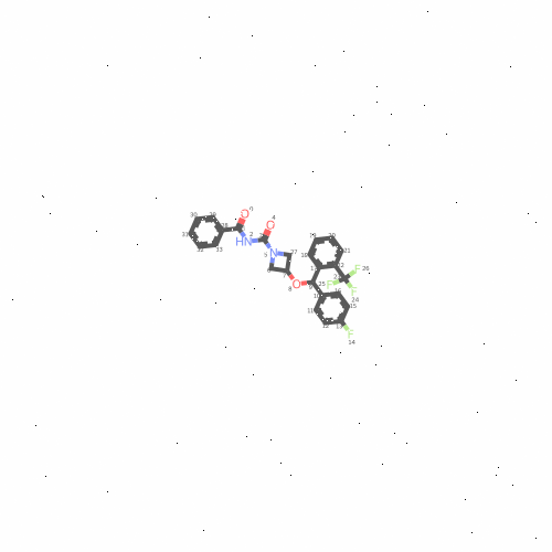 O=C(NC(=O)N1CC(OC(c2ccc(F)cc2)c2ccccc2C(F)(F)F)C1)c1ccccc1